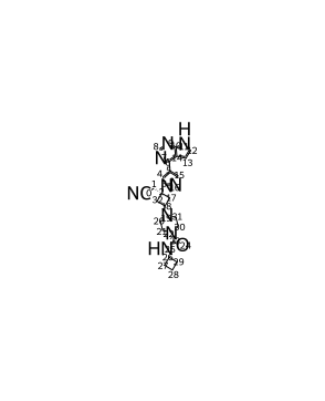 N#CC[C@]1(n2cc(-c3ncnc4[nH]ccc34)cn2)C[C@@H](N2CCN(C(=O)NC3CCC3)CC2)C1